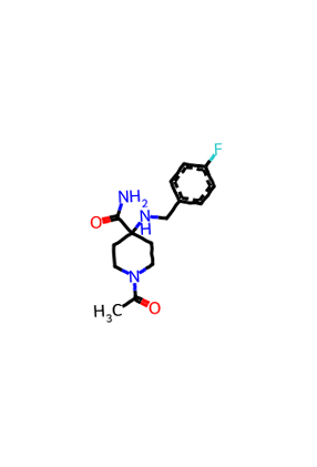 CC(=O)N1CCC(NCc2ccc(F)cc2)(C(N)=O)CC1